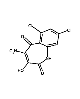 O=c1[nH]c2cc(Cl)cc(Cl)c2c(=O)c([N+](=O)[O-])c1O